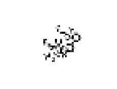 Nc1nc2ccc(-c3cccc(F)c3OCCF)cn2c1C(=O)[C@H]1C[C@H]1F